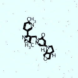 Cc1ccc(-c2noc(C)c2Cn2ncc(N3CC[C@H]4COC[C@H]43)cc2=O)cn1